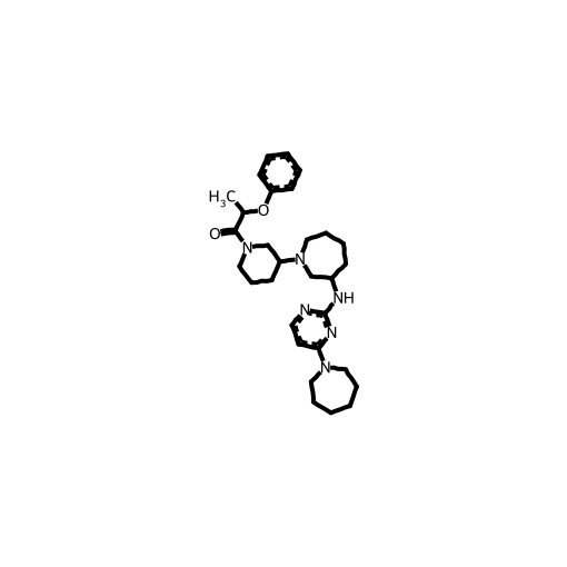 CC(Oc1ccccc1)C(=O)N1CCCC(N2CCCCC(Nc3nccc(N4CCCCCC4)n3)C2)C1